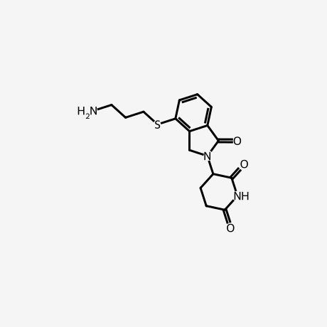 NCCCSc1cccc2c1CN(C1CCC(=O)NC1=O)C2=O